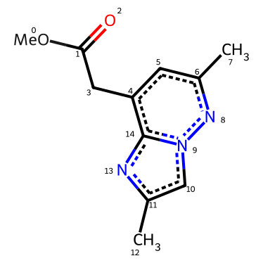 COC(=O)Cc1cc(C)nn2cc(C)nc12